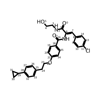 O=C(NCCO)/C(=C/c1ccc(Cl)cc1)NC(=O)c1ccc(OCCc2ccc(C3CC3)cc2)cc1